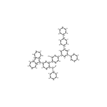 Cc1cc(-c2nc(-c3ccccc3)nc(-c3ccc(-c4ccccc4)cc3)n2)ccc1-c1cc(-n2c3ccccc3c3ccccc32)ccc1C(C)c1ccccc1